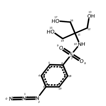 [N-]=[N+]=Nc1ccc(S(=O)(=O)NC(CO)(CO)CO)cc1